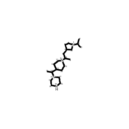 CC(C)N1CCC(CC(C)N2CCC(C(C)N3CCNCC3)CC2)C1